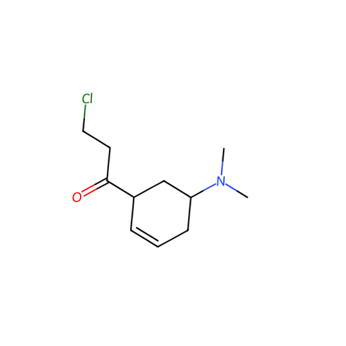 CN(C)C1CC=CC(C(=O)CCCl)C1